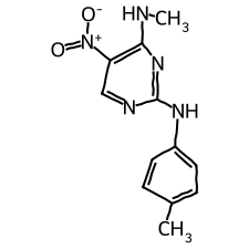 CNc1nc(Nc2ccc(C)cc2)ncc1[N+](=O)[O-]